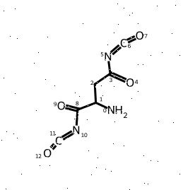 NC(CC(=O)N=C=O)C(=O)N=C=O